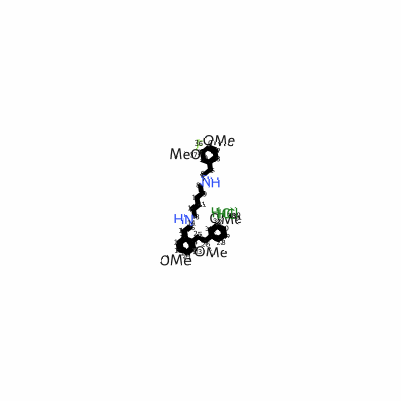 COC1=CC=C(CCNCCCCCCNCCc2ccc(OC)c(OC)c2CCc2cccc(OC)c2)CC1(F)OC.Cl.Cl